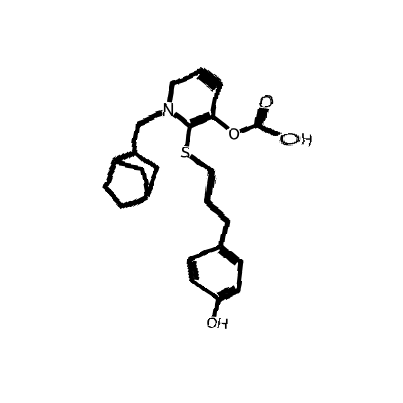 O=C(O)OC1=C(SCCCc2ccc(O)cc2)N(CC2CC3CCC2C3)CC=C1